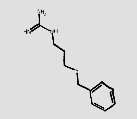 N=C(N)NCCCSCc1ccccc1